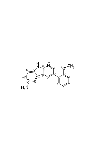 COc1ccccc1-c1cnc2[nH]c3cnc(N)cc3c2c1